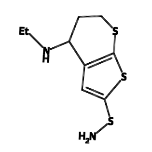 CCNC1CCSc2sc(SN)cc21